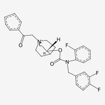 O=C(C[N+]12CCC(CC1)[C@@H](OC(=O)N(Cc1ccc(F)c(F)c1)c1ccccc1F)C2)c1ccccc1